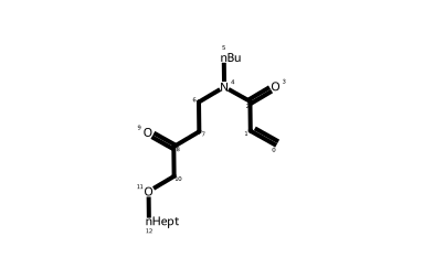 C=CC(=O)N(CCCC)CCC(=O)COCCCCCCC